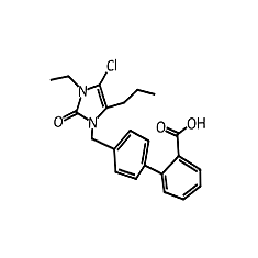 CCCc1c(Cl)n(CC)c(=O)n1Cc1ccc(-c2ccccc2C(=O)O)cc1